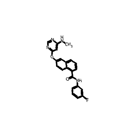 CNc1cc(Oc2ccc3c(C(=O)Nc4cccc(F)c4)cccc3c2)ncn1